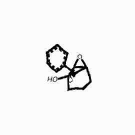 O=C(c1ccccc1)C12CCCC(O)=C1O2